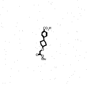 CC(C)(C)OC(=O)COC1CCC(c2ccc(C(=O)O)cc2)CC1